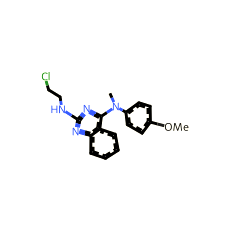 COc1ccc(N(C)c2nc(NCCCl)nc3ccccc23)cc1